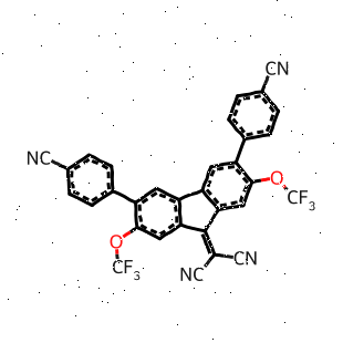 N#CC(C#N)=C1c2cc(OC(F)(F)F)c(-c3ccc(C#N)cc3)cc2-c2cc(-c3ccc(C#N)cc3)c(OC(F)(F)F)cc21